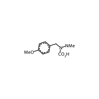 CNN(Cc1ccc(OC)cc1)C(=O)O